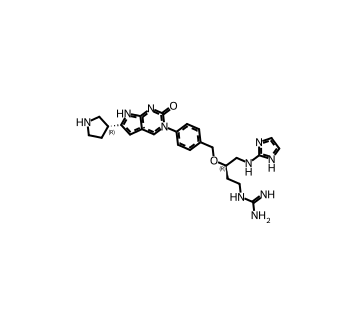 N=C(N)NCC[C@H](CNc1ncc[nH]1)OCc1ccc(-n2cc3cc([C@@H]4CCNC4)[nH]c3nc2=O)cc1